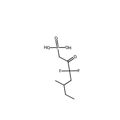 CCC(C)CC(F)(F)C(=O)CP(=O)(O)O